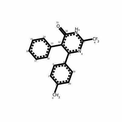 Cc1ccc(-c2nc(C(F)(F)F)[nH]c(=O)c2-c2ccccc2)cc1